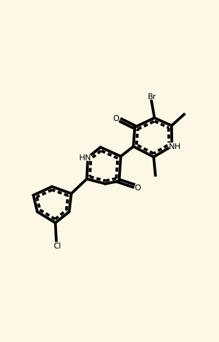 Cc1[nH]c(C)c(-c2c[nH]c(-c3cccc(Cl)c3)cc2=O)c(=O)c1Br